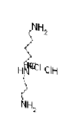 Cl.Cl.Cl.NCCCCCNCCCN